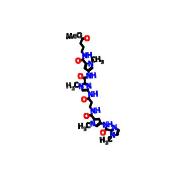 COC(=O)CCCNC(=O)c1cc(NC(=O)c2nc(NC(=O)CCNC(=O)c3cc(NC(=O)c4nccn4C)cn3C)cn2C)cn1C